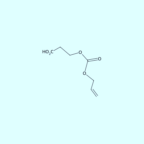 C=CCOC(=O)OCCC(=O)O